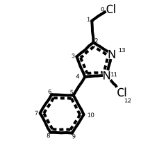 ClCc1cc(-c2ccccc2)n(Cl)n1